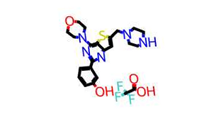 O=C(O)C(F)(F)F.Oc1cccc(-c2nc(N3CCOCC3)c3sc(CN4CCNCC4)cc3n2)c1